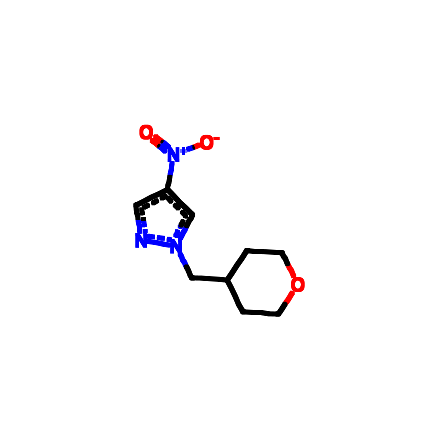 O=[N+]([O-])c1cnn(CC2CCOCC2)c1